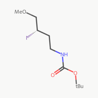 COC[C@@H](I)CCNC(=O)OC(C)(C)C